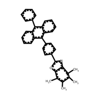 Cc1c(C)c(C)c2oc(-c3ccc(-c4c5ccccc5c(-c5ccccc5)c5ccccc45)cc3)nc2c1C